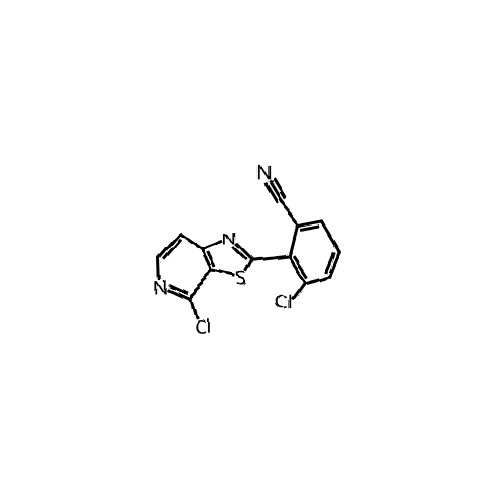 N#Cc1cccc(Cl)c1-c1nc2ccnc(Cl)c2s1